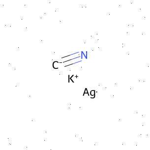 [Ag].[C-]#N.[K+]